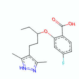 CCC(CCc1c(C)n[nH]c1C)Oc1cc(F)ccc1C(=O)O